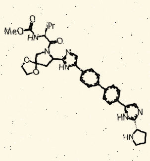 COC(=O)N[C@H](C(=O)N1CC2(CC1c1ncc(-c3ccc(-c4ccc(-c5cnc([C@@H]6CCCN6)[nH]5)cc4)cc3)[nH]1)OCCO2)C(C)C